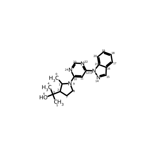 CC1C(C(C)(C)O)CCN1c1cc(-n2ncc3ccccc32)ncn1